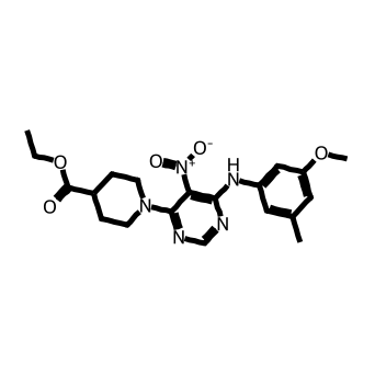 CCOC(=O)C1CCN(c2ncnc(Nc3cc(C)cc(OC)c3)c2[N+](=O)[O-])CC1